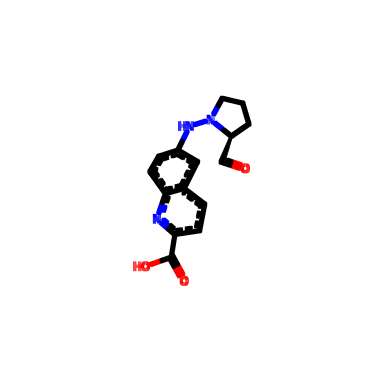 O=C[C@@H]1CCCN1Nc1ccc2nc(C(=O)O)ccc2c1